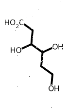 O=C(O)CC(O)C(O)CCO